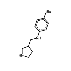 CC(C)(C)c1ccc(NCC2CCNC2)cc1